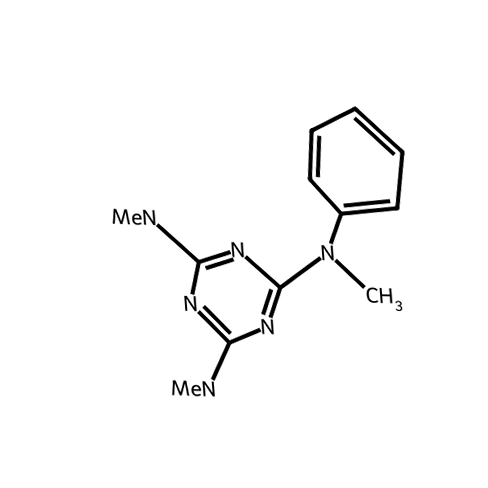 CNc1nc(NC)nc(N(C)c2ccccc2)n1